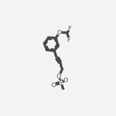 CS(=O)(=O)OCC#Cc1cccc(OC(F)F)c1